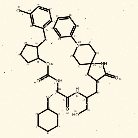 O=C(N[C@@H](CC1CCCCC1)C(=O)NC(CO)CC1CC2(CCN(c3ccccc3)CC2)NC1=O)OC1CCCC1Cc1cccc(Cl)c1